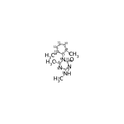 CNc1nc(C)n(-c2c(C)cccc2C)c(=O)n1